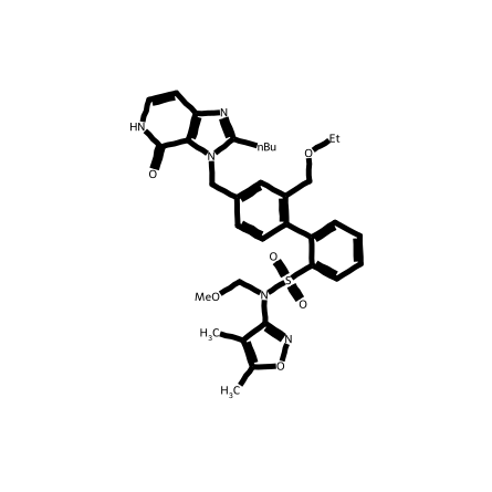 CCCCc1nc2cc[nH]c(=O)c2n1Cc1ccc(-c2ccccc2S(=O)(=O)N(COC)c2noc(C)c2C)c(COCC)c1